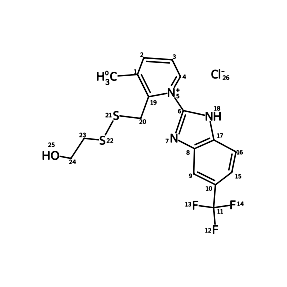 Cc1ccc[n+](-c2nc3cc(C(F)(F)F)ccc3[nH]2)c1CSSCCO.[Cl-]